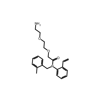 C=Cc1ccccc1N(Cc1ccccc1C)C(=O)COCCOCCN